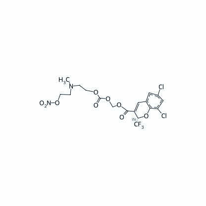 CN(CCOC(=O)OCOC(=O)C1=Cc2cc(Cl)cc(Cl)c2O[C@@H]1C(F)(F)F)CCO[N+](=O)[O-]